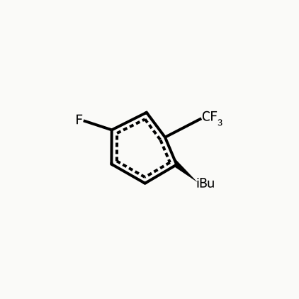 C[CH][C@H](C)c1ccc(F)cc1C(F)(F)F